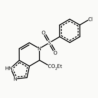 CCOC(=O)C1c2cn[nH]c2C=CN1S(=O)(=O)c1ccc(Cl)cc1